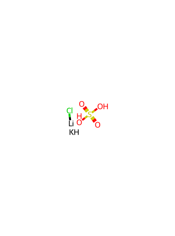 O=S(=O)(O)O.[KH].[Li][Cl]